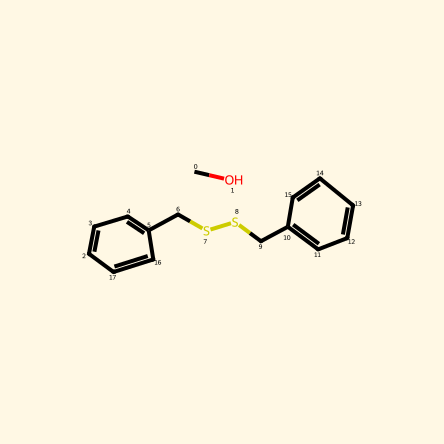 CO.c1ccc(CSSCc2ccccc2)cc1